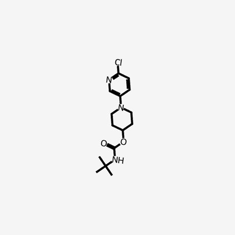 CC(C)(C)NC(=O)OC1CCN(c2ccc(Cl)nc2)CC1